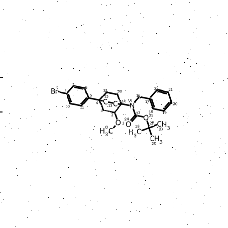 COC1CC2(c3ccc(Br)cc3)CCC1(N(Cc1ccccc1)C(=O)OC(C)(C)C)CC2